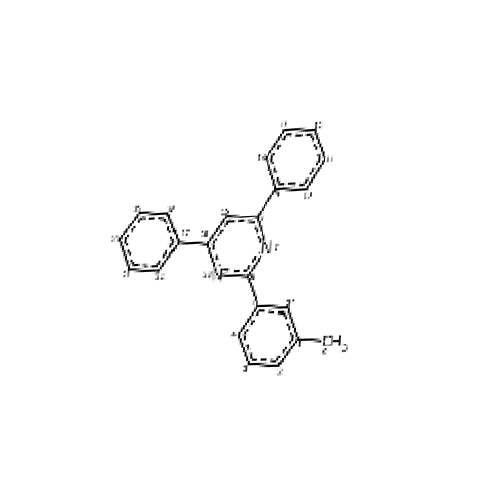 Cc1cccc(-c2nc(-c3ccccc3)cc(-c3ccccc3)n2)c1